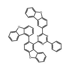 c1ccc(-c2nc(-c3ccc4oc5ccccc5c4c3)nc(-c3c(-c4cccc5oc6ccccc6c45)ccc4oc5ccccc5c34)n2)cc1